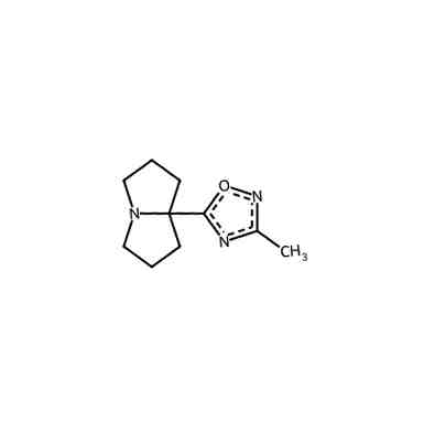 Cc1noc(C23CCCN2CCC3)n1